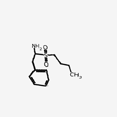 CCCCS(=O)(=O)C(N)Cc1cc[c]cc1